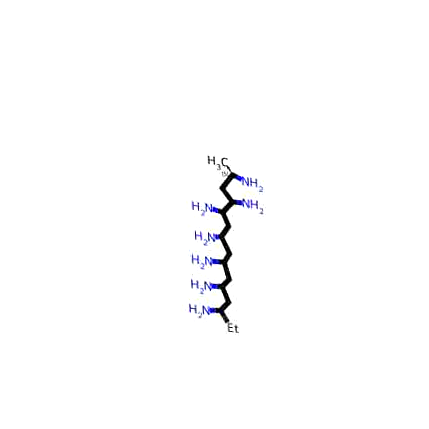 CCC(N)CC(N)CC(N)CC(N)CC(N)C(N)C[C@H](C)N